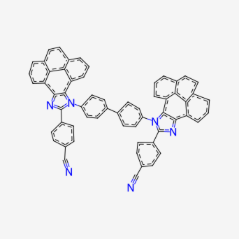 N#Cc1ccc(-c2nc3c4cccc5ccc6cccc(c6c54)c3n2-c2ccc(-c3ccc(-n4c(-c5ccc(C#N)cc5)nc5c6cccc7ccc8cccc(c8c76)c54)cc3)cc2)cc1